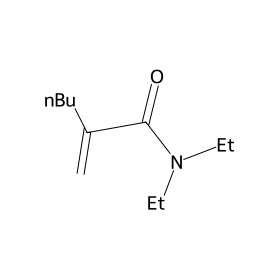 C=C(CCCC)C(=O)N(CC)CC